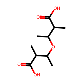 CC(OC(C)C(C)C(=O)O)C(C)C(=O)O